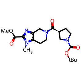 COC(=O)c1nc2c(n1C)CCN(C(=O)[C@H]1CCN(C(=O)OC(C)(C)C)C1)C2